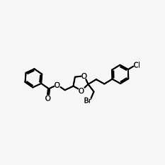 O=C(OCC1COC(CBr)(CCc2ccc(Cl)cc2)O1)c1ccccc1